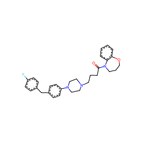 O=C(CCCN1CCN(c2ccc(Cc3ccc(F)cc3)cc2)CC1)N1CCCOc2ccccc21